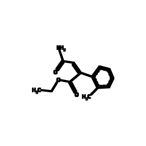 CCOC(=O)C(=CC(N)=O)c1ccccc1C